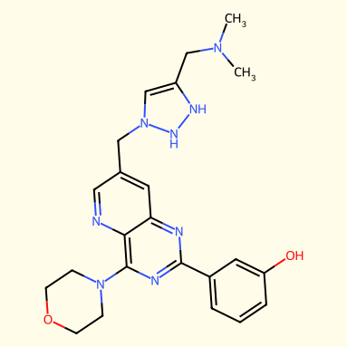 CN(C)CC1=CN(Cc2cnc3c(N4CCOCC4)nc(-c4cccc(O)c4)nc3c2)NN1